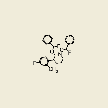 Cc1cc(F)ccc1C1CCCN(OC(F)c2ccccc2)C1OC(F)c1ccccc1